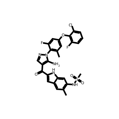 Cc1cc2cc(C(=O)c3cnn(-c4c(C)cc(Oc5c(F)cccc5Cl)cc4F)c3N)[nH]c2cc1NS(C)(=O)=O